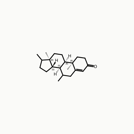 CC1CC2=CC(=O)CC[C@]2(C)[C@@H]2CC[C@]3(C)C(C)CC[C@H]3[C@H]12